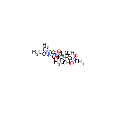 Cc1ccc2c(c1C)N1Cc3ccc(N4C(=O)c5cc6c(cc5C4=O)C4(CC(C)(C)c5cc7c(cc54)C(=O)N(C)C7=O)CC6(C)C)c(C)c3N(C2)C1